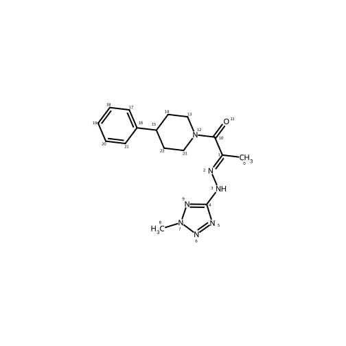 CC(=NNc1nnn(C)n1)C(=O)N1CCC(c2ccccc2)CC1